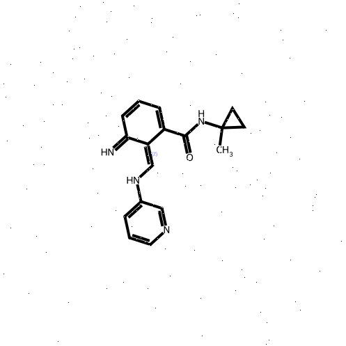 CC1(NC(=O)C2=CC=CC(=N)/C2=C\Nc2cccnc2)CC1